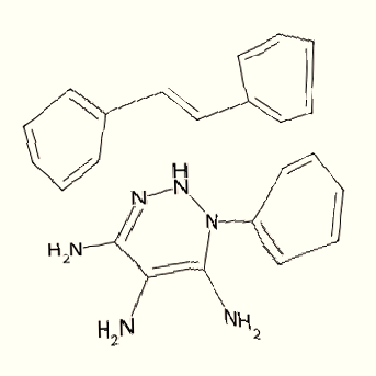 C(=Cc1ccccc1)c1ccccc1.NC1=NNN(c2ccccc2)C(N)=C1N